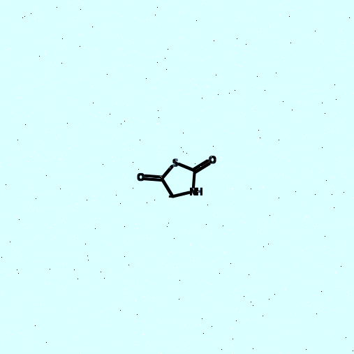 O=C1[CH]NC(=O)S1